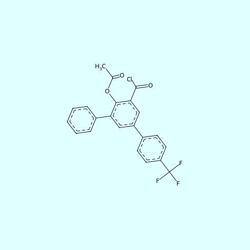 CC(=O)Oc1c(C(=O)Cl)cc(-c2ccc(C(F)(F)F)cc2)cc1-c1ccccc1